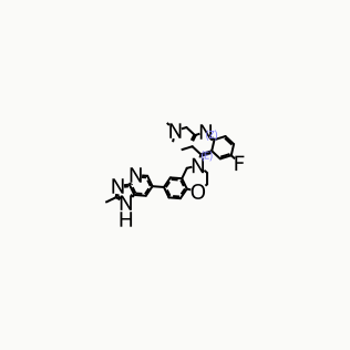 C=C(CN(C)C)/N=C1/C=CC(F)=C/C1=C(/CC)N1CCOc2ccc(-c3cnc4nc(C)[nH]c4c3)cc2C1